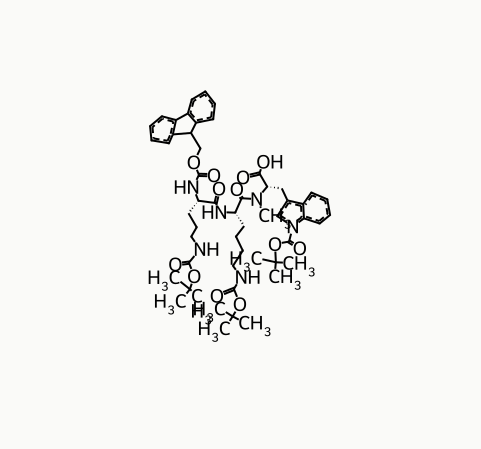 CN(C(=O)[C@H](CCCCNC(=O)OC(C)(C)C)NC(=O)[C@H](CCCNC(=O)OC(C)(C)C)NC(=O)OCC1c2ccccc2-c2ccccc21)[C@@H](Cc1cn(C(=O)OC(C)(C)C)c2ccccc12)C(=O)O